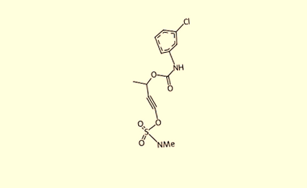 CNS(=O)(=O)OC#CC(C)OC(=O)Nc1cccc(Cl)c1